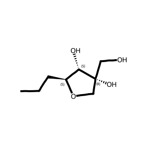 CCC[C@@H]1OC[C@](O)(CO)[C@H]1O